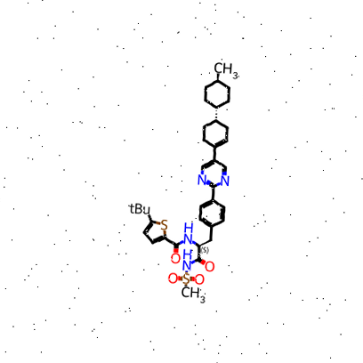 CC(C)(C)c1ccc(C(=O)N[C@@H](Cc2ccc(-c3ncc(C4=CCC([C@H]5CC[C@H](C)CC5)CC4)cn3)cc2)C(=O)NS(C)(=O)=O)s1